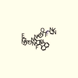 Cc1nccc(/C=C(\F)C(=O)N2CC[C@@H](N(C)c3nc(OC[C@@]45CCCN4C[C@H](F)C5)nc4c(F)c(-c5cccc6cccc(Cl)c56)ncc34)C2)n1